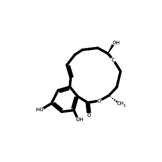 C[C@H]1CCC[C@H](O)CCC/C=C/c2cc(O)cc(O)c2C(=O)O1